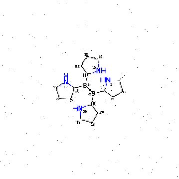 C1CNC(B(B(C2CCCN2)C2CCCN2)C2CCCN2)C1